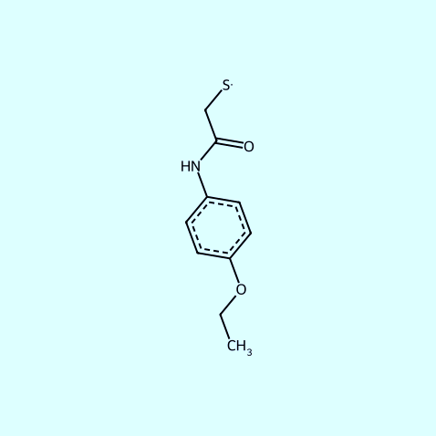 CCOc1ccc(NC(=O)C[S])cc1